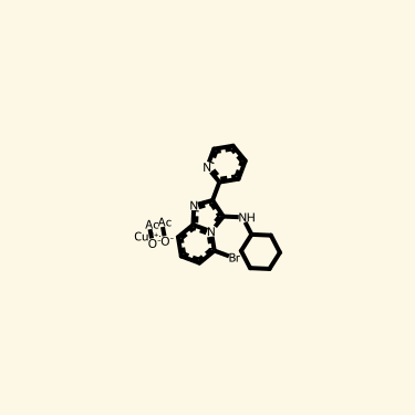 Brc1cccc2nc(-c3ccccn3)c(NC3CCCCC3)n12.CC(=O)[O-].CC(=O)[O-].[Cu+2]